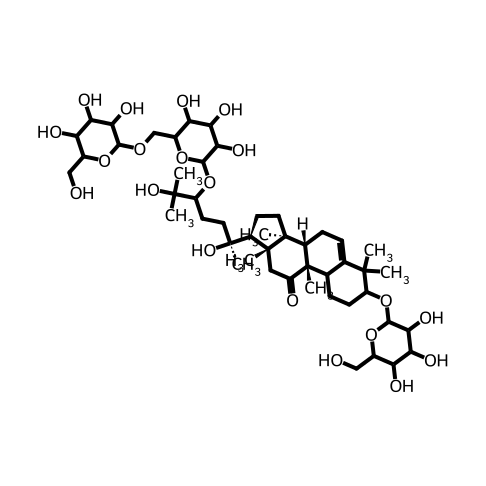 CC(C)(O)C(CC[C@](C)(O)[C@H]1CC[C@@]2(C)[C@@H]3CC=C4C(CCC(OC5OC(CO)C(O)C(O)C5O)C4(C)C)[C@]3(C)C(=O)C[C@]12C)OC1OC(COC2OC(CO)C(O)C(O)C2O)C(O)C(O)C1O